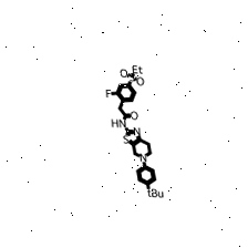 CCS(=O)(=O)c1ccc(CC(=O)Nc2nc3c(s2)CN(c2ccc(C(C)(C)C)cc2)CC3)c(F)c1